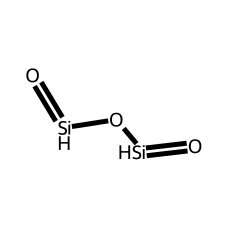 O=[SiH]O[SiH]=O